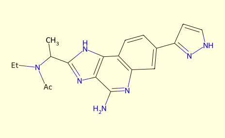 CCN(C(C)=O)C(C)c1nc2c(N)nc3cc(-c4cc[nH]n4)ccc3c2[nH]1